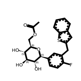 CC(=O)OC[C@H]1O[C@@H](c2ccc(F)c(Cc3cc4ccccc4s3)c2)[C@H](O)[C@@H](O)[C@@H]1O